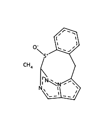 C.[O-][S+]1c2ncc3ccc(n3n2)Cc2ccccc21